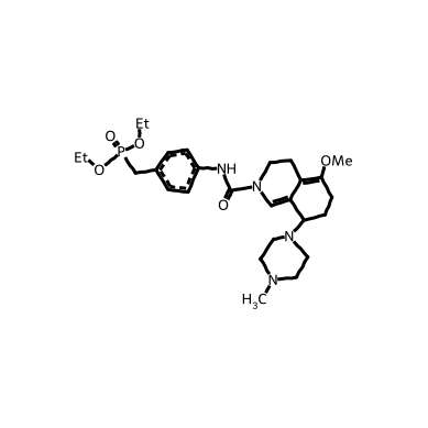 CCOP(=O)(Cc1ccc(NC(=O)N2C=C3C(=C(OC)CCC3N3CCN(C)CC3)CC2)cc1)OCC